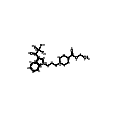 CCOC(=O)C1CCN(CCCn2cc(C(=O)C(F)(F)F)c3ccccc32)CC1